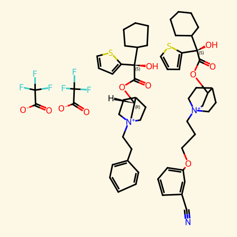 N#Cc1cccc(OCCC[N+]23CCC(CC2)C(OC(=O)[C@](O)(c2cccs2)C2CCCCC2)C3)c1.O=C(O[C@H]1C[N+]2(CCc3ccccc3)CCC1CC2)[C@](O)(c1cccs1)C1CCCCC1.O=C([O-])C(F)(F)F.O=C([O-])C(F)(F)F